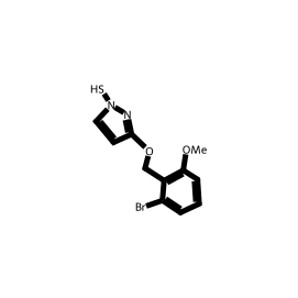 COc1cccc(Br)c1COc1ccn(S)n1